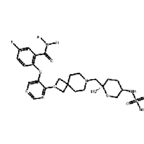 CCN(C(=O)c1cc(F)ccc1Oc1cncnc1N1CC2(CCN(C[C@@]3(O)CC[C@@H](NS(=O)(=O)NC)CO3)CC2)C1)C(C)C